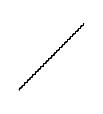 CCCCCCCCCCCCCCCCCCCCCCC=CC=CCCCCCCCCCCCCCCCCCCCCCCCC